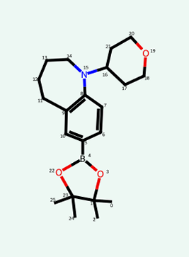 CC1(C)OB(c2ccc3c(c2)CCCCN3C2CCOCC2)OC1(C)C